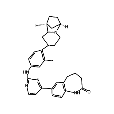 Cc1cc(Nc2nccc(-c3ccc4c(c3)CCCC(=O)N4)n2)ccc1N1CCN2C(C1)[C@H]1CC[C@@H]2C1